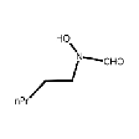 CCCCCN(O)C=O